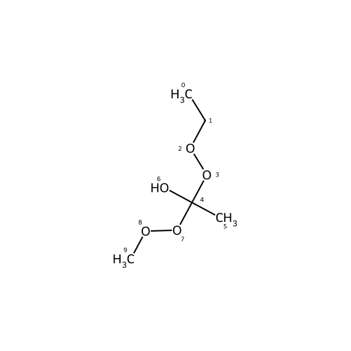 CCOOC(C)(O)OOC